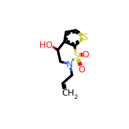 C=CCN1CC(O)c2ccsc2S1(=O)=O